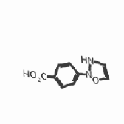 O=C(O)c1ccc(N2NC=CO2)cc1